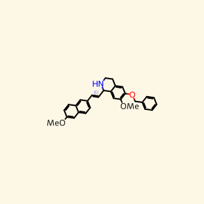 COc1ccc2cc(/C=C/C3NCCc4cc(OCc5ccccc5)c(OC)cc43)ccc2c1